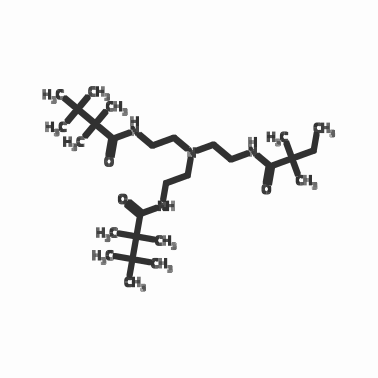 CCC(C)(C)C(=O)NCCN(CCNC(=O)C(C)(C)C(C)(C)C)CCNC(=O)C(C)(C)C(C)(C)C